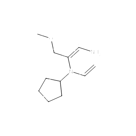 C=CN(/C(=C\N)COC)C1CCCC1